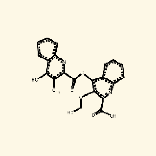 Cc1c(C(=O)Oc2c(OCO)c(C(=O)O)nc3ccccc23)nc2ccccc2c1O